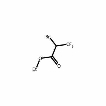 CCOC(=O)C(Br)C(F)(F)F